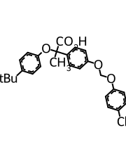 CC(C)(C)c1ccc(OC(C)(C(=O)O)c2ccc(OCOc3ccc(Cl)cc3)cc2)cc1